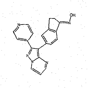 O/N=C1\CCc2cc(-c3c(-c4ccncc4)nn4cccnc34)ccc21